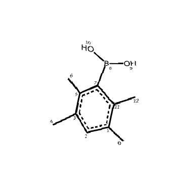 Cc1cc(C)c(C)c(B(O)O)c1C